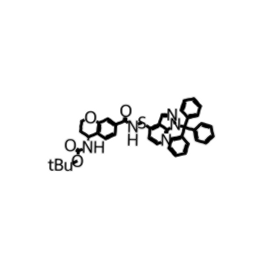 CC(C)(C)OC(=O)N[C@H]1CCOc2cc(C(=O)NSc3ccnc4c3cnn4C(c3ccccc3)(c3ccccc3)c3ccccc3)ccc21